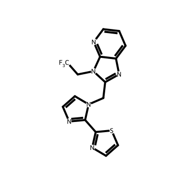 FC(F)(F)Cn1c(Cn2ccnc2-c2nccs2)nc2cccnc21